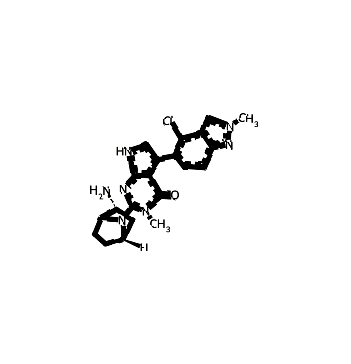 Cn1cc2c(Cl)c(-c3c[nH]c4nc(N5C6CC[C@H]5C[C@H]6N)n(C)c(=O)c34)ccc2n1